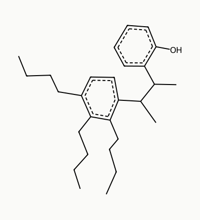 CCCCc1ccc(C(C)C(C)c2ccccc2O)c(CCCC)c1CCCC